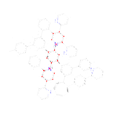 CC1=CC=C(c2ccc(-c3ccccn3)cc2)C(c2cc(-c3ccccc3-c3ccc(-c4ccc(-c5ccccc5-c5cc(-c6cc(C)c(C)cc6-c6ccc(-c7ccccn7)cc6)cc(-c6cc(C)c(C)cc6-c6ccc(-c7ccccn7)cc6)c5)cn4)nc3)cc(-c3cc(C)c(C)cc3-c3ccc(-c4ccccn4)cc3)c2)C#C1